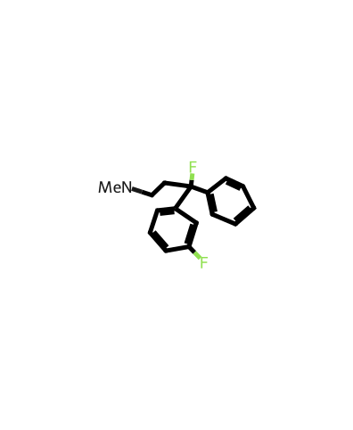 CNCCC(F)(c1ccccc1)c1cccc(F)c1